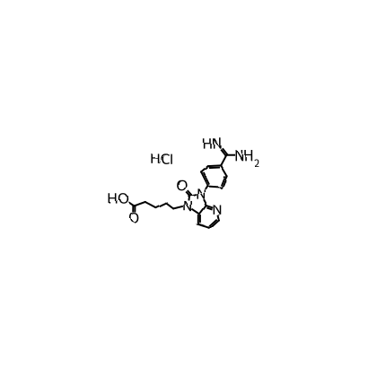 Cl.N=C(N)c1ccc(-n2c(=O)n(CCCCC(=O)O)c3cccnc32)cc1